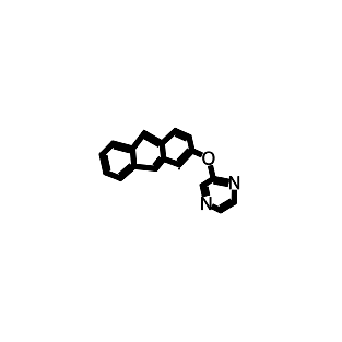 [c]1c(Oc2cnccn2)ccc2cc3ccccc3cc12